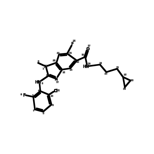 Cn1c(Nc2c(F)cccc2Cl)nc2cc(C(=O)NCCCC3CC3)c(F)cc21